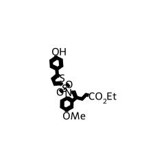 CCOC(=O)CCc1cn(S(=O)(=O)c2ccc(-c3ccc(O)cc3)s2)c2ccc(OC)cc12